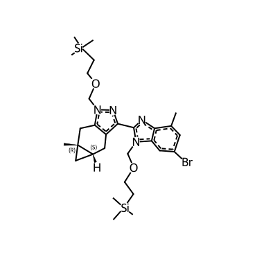 Cc1cc(Br)cc2c1nc(-c1nn(COCC[Si](C)(C)C)c3c1C[C@@H]1C[C@]1(C)C3)n2COCC[Si](C)(C)C